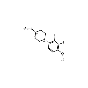 CCCCC[C@H]1CC[C@H](c2ccc(OCC)c(F)c2F)CO1